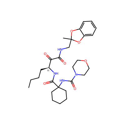 CCCC[C@H](NC(=O)C1(NC(=O)N2CCOCC2)CCCCC1)C(=O)C(=O)NCC1(C)Oc2ccccc2O1